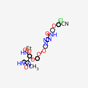 CCS(=O)(=O)Nc1ccc(Oc2cccc(OCCOC3CCN(c4cnc(C(=O)NC5CCC(Oc6ccc(C#N)c(Cl)c6)CC5)cn4)CC3)c2)c(-c2cn(C)c(=O)c3[nH]ccc23)c1